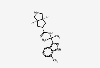 Cc1cccc2c(C(C)(C)NC(=O)[C@@H]3C[C@H]4CNC[C@H]4C3)n[nH]c12